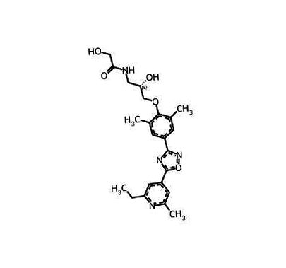 CCc1cc(-c2nc(-c3cc(C)c(OC[C@@H](O)CNC(=O)CO)c(C)c3)no2)cc(C)n1